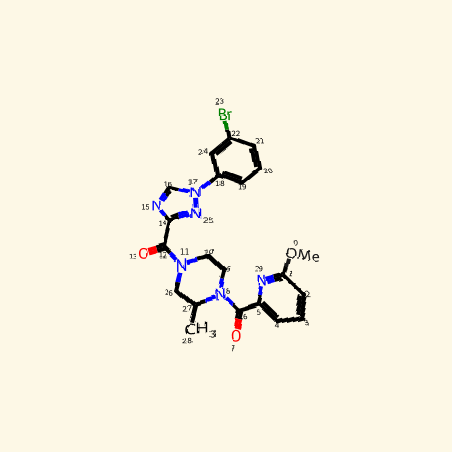 COc1cccc(C(=O)N2CCN(C(=O)c3ncn(-c4cccc(Br)c4)n3)CC2C)n1